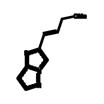 COC/C=C/c1cn2nccc2s1